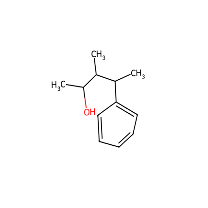 CC(O)C(C)C(C)c1ccccc1